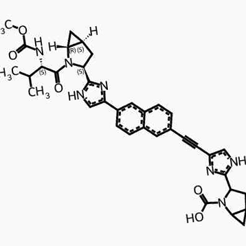 COC(=O)N[C@H](C(=O)N1[C@@H]2C[C@H]2C[C@H]1c1nc(-c2ccc3cc(C#Cc4c[nH]c(C5CC6CC6N5C(=O)O)n4)ccc3c2)c[nH]1)C(C)C